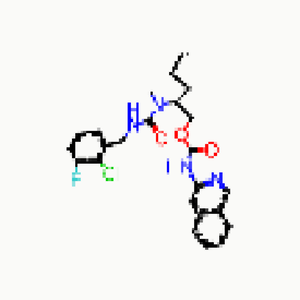 [CH2]CC[C@@H](COC(=O)Nc1cc2ccccc2cn1)N(C)C(=O)NCc1cccc(F)c1Cl